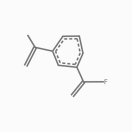 C=C(C)c1cccc(C(=C)F)c1